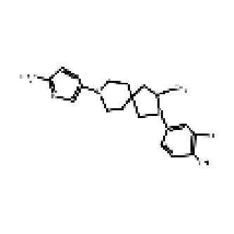 CC1CC2(CCN(c3ccc(C(=O)O)nc3)CC2)CN1c1ccc(C#N)c(Cl)c1